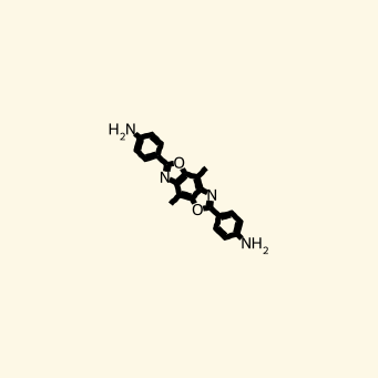 Cc1c2nc(-c3ccc(N)cc3)oc2c(C)c2nc(-c3ccc(N)cc3)oc12